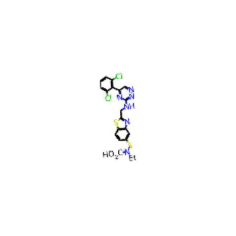 CCN(Sc1ccc2sc(CNc3nncc(-c4c(Cl)cccc4Cl)n3)nc2c1)C(=O)O